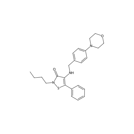 CCCCn1sc(-c2ccccc2)c(NCc2ccc(N3CCOCC3)cc2)c1=O